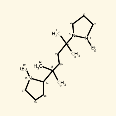 CCN1CCCN1C(C)(C)CCC(C)(C)C1CCCN1C(C)(C)C